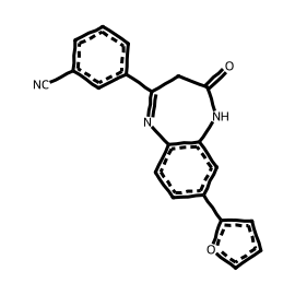 N#Cc1cccc(C2=Nc3ccc(-c4ccco4)cc3NC(=O)C2)c1